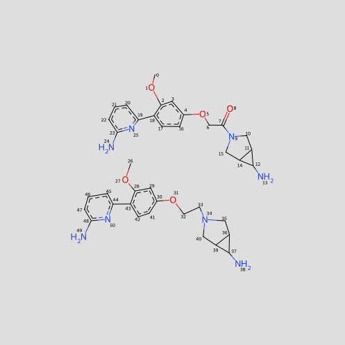 COc1cc(OCC(=O)N2CC3C(N)C3C2)ccc1-c1cccc(N)n1.COc1cc(OCCN2CC3C(N)C3C2)ccc1-c1cccc(N)n1